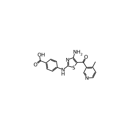 Cc1ccncc1C(=O)c1sc(Nc2ccc(C(=O)O)cc2)nc1N